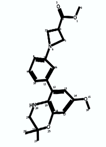 COC(=O)C1CN(c2cccc(-c3cc(OC)cc4c3NCC(C)(C)O4)c2)C1